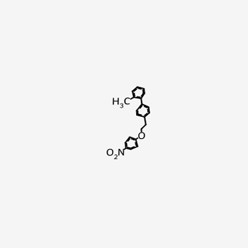 Cc1ccccc1-c1ccc(CCOc2ccc([N+](=O)[O-])cc2)cc1